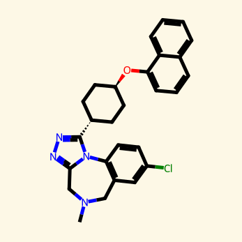 CN1Cc2cc(Cl)ccc2-n2c(nnc2[C@H]2CC[C@H](Oc3cccc4ccccc34)CC2)C1